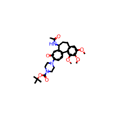 COc1cc2c(c(OC)c1OC)-c1ccc(N3CCN(C(=O)OC(C)(C)C)CC3)c(=O)cc1C(NC(C)=O)CC2